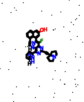 C#Cc1cccc2cc(O)cc(-c3nnc4c(N5C[C@H]6CC[C@@H]5CN6)nc(C#CC56CCCN5CCC6)nc4c3F)c12